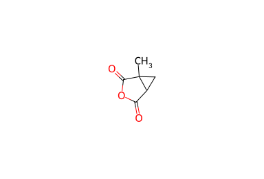 CC12CC1C(=O)OC2=O